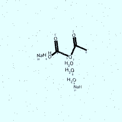 CC(=O)OC(=O)O.O.O.O.[NaH].[NaH]